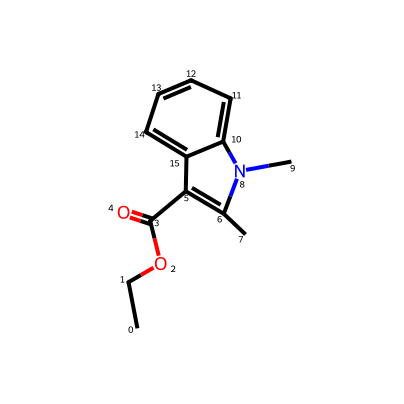 CCOC(=O)c1c(C)n(C)c2ccccc12